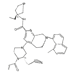 C=CC(=O)N1CCN(c2cc(C(=O)N[C@]3(CC)CCNC3)nc3c2CCN(c2cccc4cccc(C)c24)C3)C[C@@H]1CC#N